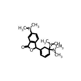 CN(C)c1ccc2c(c1)C(=O)OC2C1=CC=CC(N(C)C)(N(C)C)C1